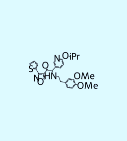 COc1ccc(CCNC(C(=O)c2conc2-c2cccs2)c2ccc(OC(C)C)nc2)cc1OC